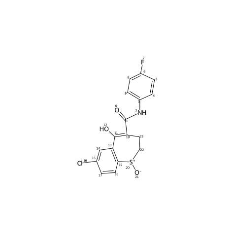 O=C(Nc1ccc(F)cc1)C1=C(O)c2cc(Cl)ccc2[S+]([O-])CC1